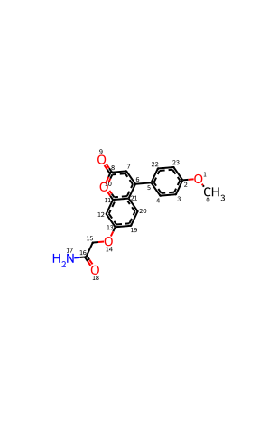 COc1ccc(-c2cc(=O)oc3cc(OCC(N)=O)ccc23)cc1